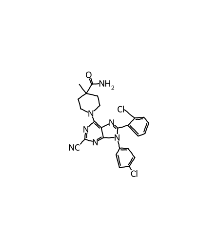 CC1(C(N)=O)CCN(c2nc(C#N)nc3c2nc(-c2ccccc2Cl)n3-c2ccc(Cl)cc2)CC1